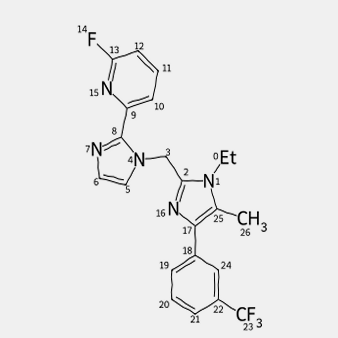 CCn1c(Cn2ccnc2-c2cccc(F)n2)nc(-c2cccc(C(F)(F)F)c2)c1C